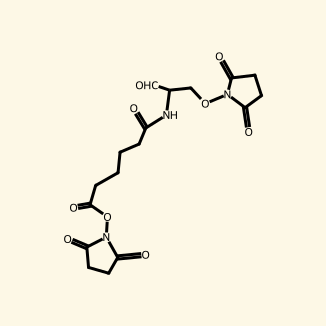 O=CC(CON1C(=O)CCC1=O)NC(=O)CCCCC(=O)ON1C(=O)CCC1=O